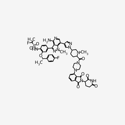 CC(F)S(=O)(=O)Nc1ccc(-c2nn(C)c3c(-c4cnn(C5CCC(C(=O)N6CCN(c7cccc8c7C(=O)N(C7CCC(=O)NC7=O)C8=O)CC6)N(C)C5)c4)cnc(N)c23)cc1O[C@@H](C)c1ccc(F)cc1